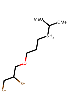 COC(OC)[SiH2]CCCOCC(S)CS